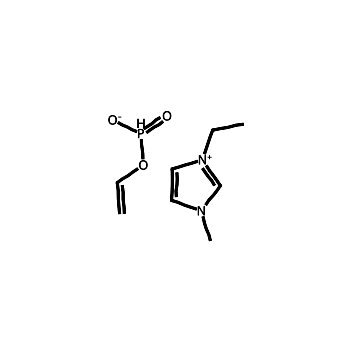 C=CO[PH](=O)[O-].CC[n+]1ccn(C)c1